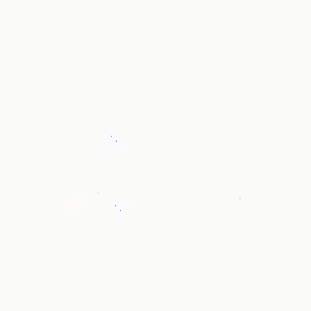 Cc1ccccc1C1=NCC(=O)Nc2ccc(Br)cc21